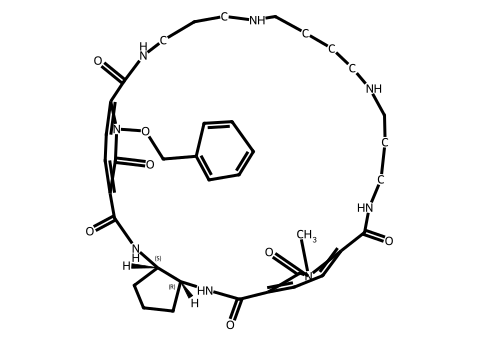 Cn1c2ccc(c1=O)C(=O)N[C@@H]1CCC[C@@H]1NC(=O)c1ccc(n(OCc3ccccc3)c1=O)C(=O)NCCCNCCCCNCCCNC2=O